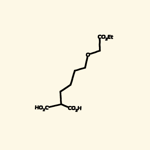 CCOC(=O)COCCCCC(C(=O)O)C(=O)O